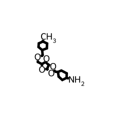 CC1CCC(C2OCC3OC4OC(C5CCC(N)CC5)OC4C3O2)CC1